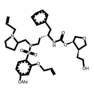 C=CCOc1cc(OC)ccc1S(=O)(=O)N(CC[C@H](Cc1ccccc1)NC(=O)O[C@H]1COC[C@H]1CCO)CC1CCCN1CC=C